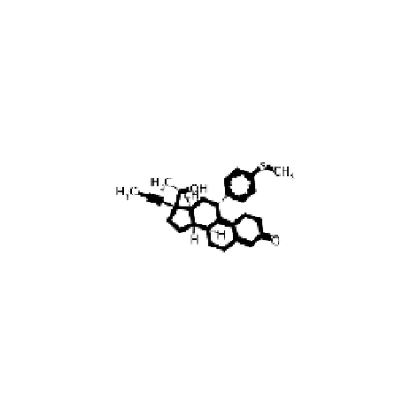 CC#C[C@]1([C@H](C)O)CC[C@H]2[C@@H]3CCC4=CC(=O)CCC4=C3[C@@H](c3ccc(SC)cc3)C[C@@]21C